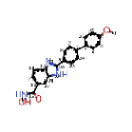 COc1ccc(-c2ccc(-c3nc4ccc(C(=O)NO)cc4[nH]3)cc2)cc1